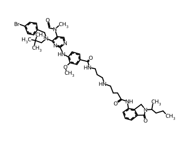 CCCC(C)N1Cc2c(NC(=O)CCCNCCCNC(=O)c3ccc(Nc4ncc(N(C)C=O)c(N(Cc5ccc(Br)cc5)CC(C)(C)C)n4)c(OC)c3)cccc2C1=O